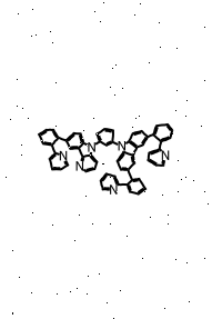 c1ccc(-c2ccccc2-c2ccc3c(c2)c2cc(-c4ccccc4-c4ccccn4)ccc2n3-c2cccc(-n3c4ccc(-c5ccccc5-c5ccccn5)cc4c4ncccc43)c2)nc1